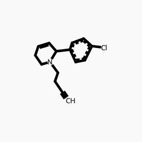 C#CCCN1CCC=CC1c1ccc(Cl)cc1